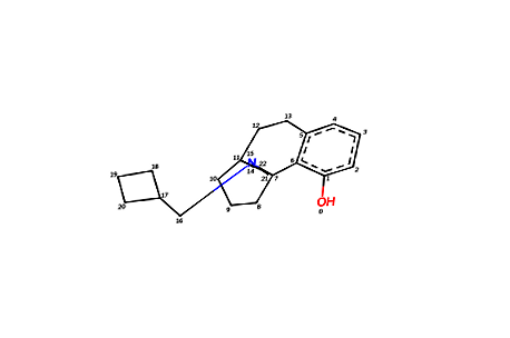 Oc1cccc2c1C13CCCC1(CC2)CN(CC1CCC1)CC3